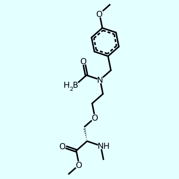 BC(=O)N(CCOC[C@H](NC)C(=O)OC)Cc1ccc(OC)cc1